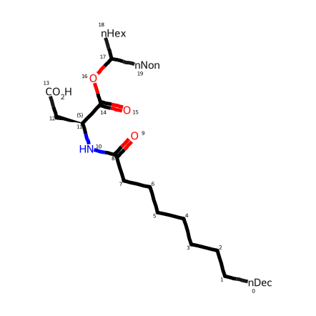 CCCCCCCCCCCCCCCCCC(=O)N[C@@H](CC(=O)O)C(=O)OC(CCCCCC)CCCCCCCCC